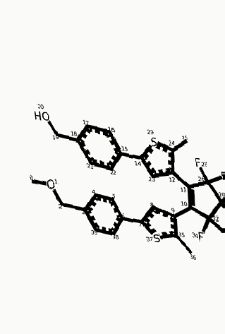 COCc1ccc(-c2cc(C3=C(c4cc(-c5ccc(CO)cc5)sc4C)C(F)(F)C(F)(F)C3(F)F)c(C)s2)cc1